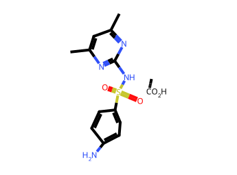 CC(=O)O.Cc1cc(C)nc(NS(=O)(=O)c2ccc(N)cc2)n1